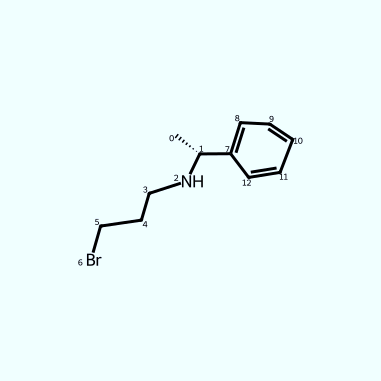 C[C@@H](NCCCBr)c1ccccc1